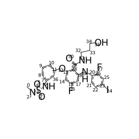 CN(C)S(=O)(=O)Nc1cccc(Oc2cc(F)cc(Nc3ccc(I)cc3F)c2C(=O)NCCCO)c1